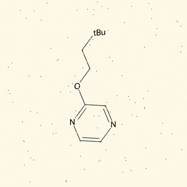 CC(C)(C)CCOc1cnccn1